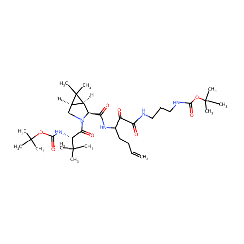 C=CCCC(NC(=O)[C@@H]1[C@H]2[C@@H](CN1C(=O)[C@@H](NC(=O)OC(C)(C)C)C(C)(C)C)C2(C)C)C(=O)C(=O)NCCCNC(=O)OC(C)(C)C